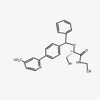 CC(C)C[C@H](OC(c1ccccc1)c1ccc(-c2cc(C(=O)O)ccn2)cc1)C(=O)NCC#N